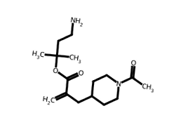 C=C(CC1CCN(C(C)=O)CC1)C(=O)OC(C)(C)CCN